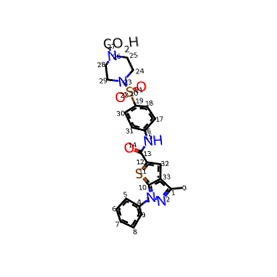 Cc1nn(-c2ccccc2)c2sc(C(=O)Nc3ccc(S(=O)(=O)N4CCN(C(=O)O)CC4)cc3)cc12